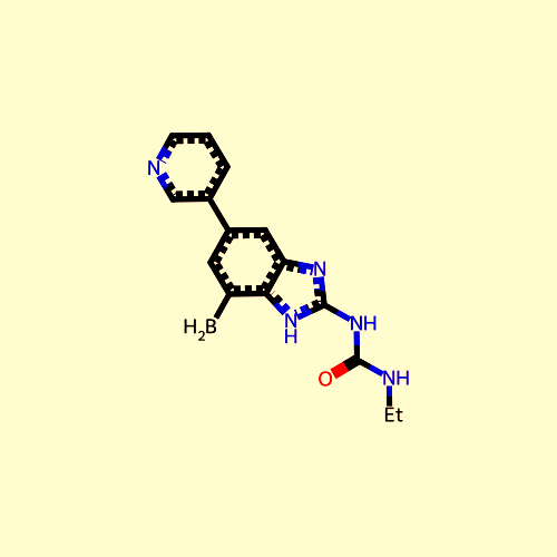 Bc1cc(-c2cccnc2)cc2nc(NC(=O)NCC)[nH]c12